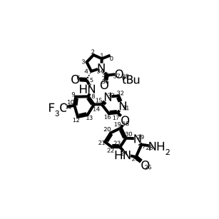 CC1CC[C@@H](C(=O)Nc2cc(C(F)(F)F)ccc2-c2cc(Oc3cccc4[nH]c(=O)c(N)nc34)ncn2)N1C(=O)OC(C)(C)C